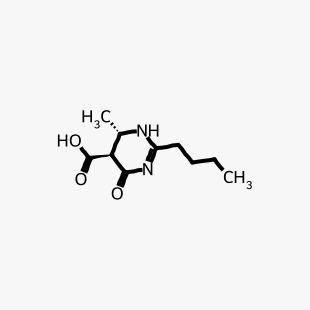 CCCCC1=NC(=O)[C@@H](C(=O)O)[C@H](C)N1